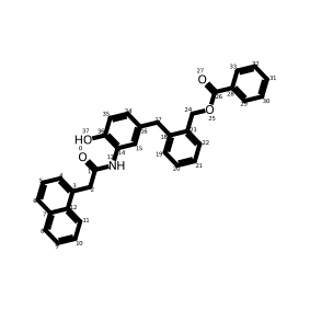 O=C(Cc1cccc2ccccc12)Nc1cc(Cc2ccccc2COC(=O)c2ccccc2)ccc1O